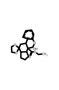 CCOC(=O)C12C(O)Oc3ccccc3C1CC1(OCCO1)C1CCCC12